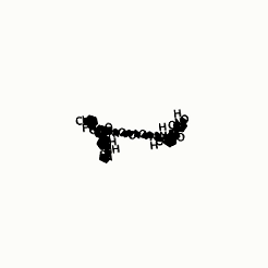 O=C1CCC(N2Cc3c(NC(=O)CNCCOCCOCCOCCNC(=O)[C@]4(Cc5cccc(Nc6nccs6)n5)CC[C@@H](Oc5cccc(Cl)c5F)CC4)cccc3C2=O)C(=O)N1